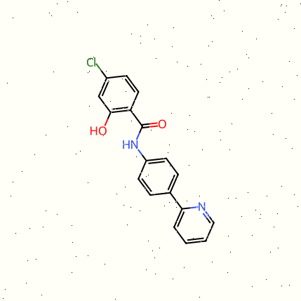 O=C(Nc1ccc(-c2ccccn2)cc1)c1ccc(Cl)cc1O